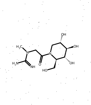 CN(CC(=O)N1C[C@H](O)[C@@H](O)[C@H](O)[C@H]1CO)C(=N)N